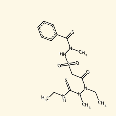 CCNC(=S)N(C)N(CC)C(=O)CS(=O)(=O)NN(C)C(=S)c1ccccc1